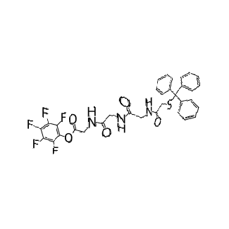 O=C(CNC(=O)CSC(c1ccccc1)(c1ccccc1)c1ccccc1)NCC(=O)NCC(=O)Oc1c(F)c(F)c(F)c(F)c1F